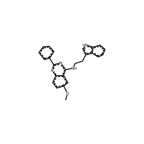 COc1ccc2nc(-c3ccccc3)nc(NCCc3c[nH]c4ccccc34)c2c1